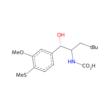 COc1cc([C@H](O)C(CC(C)(C)C)NC(=O)O)ccc1SC